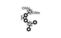 COc1nc(OC)nc(-c2ccc3c(c2)-c2cc(-c4nc(-c5ccccc5)nc(-c5ccccc5)n4)ccc2C3(F)F)n1